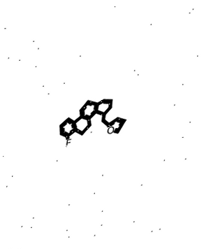 Fc1cccc2c1CCc1c-2ccc2c1C(Cc1ccco1)CC=C2